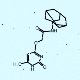 Cc1cc(OCC(=O)NC23CC4CC(CC(C4)C2)C3)nc(=O)[nH]1